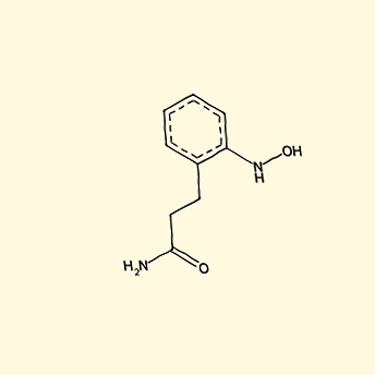 NC(=O)CCc1ccccc1NO